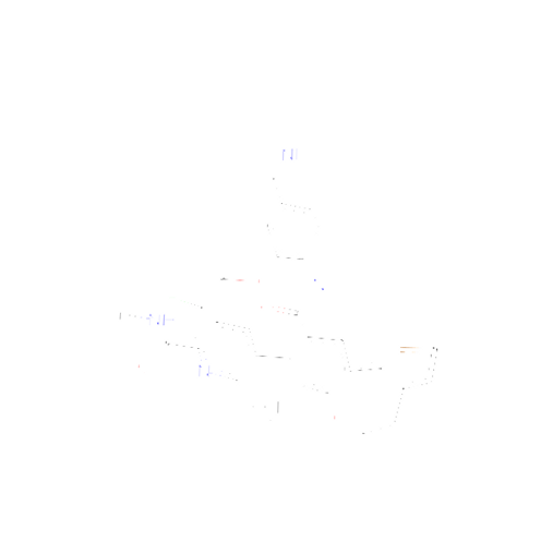 CCCNC(=O)c1ccc(-c2cc3c(cc2C(=O)Nc2ccc(CN)cc2OCCF)-c2sccc2CCO3)c(C(=O)O)n1